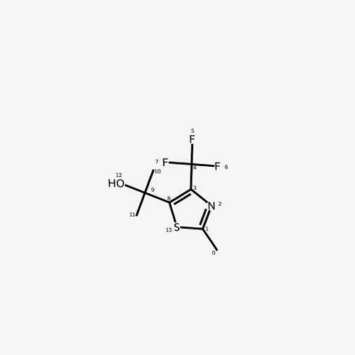 Cc1nc(C(F)(F)F)c(C(C)(C)O)s1